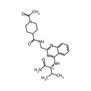 CC(=O)N1CCC(C(=O)NCc2nc(N[C@H](C(N)=O)C(C)C)c3ccccc3n2)CC1